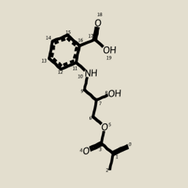 C=C(C)C(=O)OCC(O)CNc1ccccc1C(=O)O